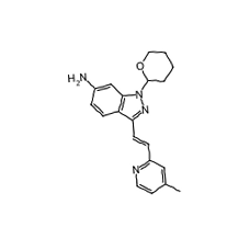 Cc1ccnc(C=Cc2nn(C3CCCCO3)c3cc(N)ccc23)c1